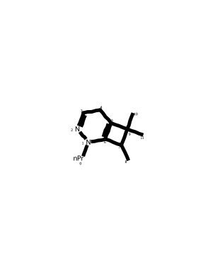 CCCN1N=CCC2=C1C(C)C2(C)C